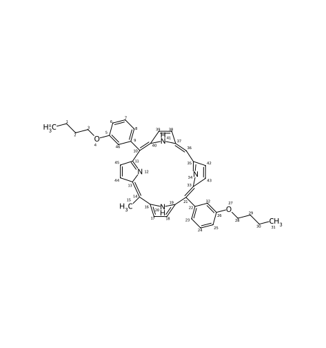 CCCCOc1cccc(-c2c3nc(c(C)c4ccc([nH]4)c(-c4cccc(OCCCC)c4)c4nc(cc5ccc2[nH]5)C=C4)C=C3)c1